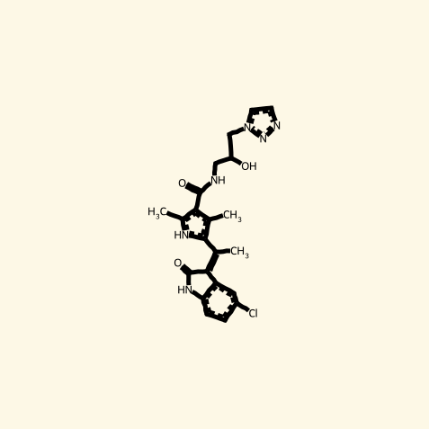 C/C(=C1/C(=O)Nc2ccc(Cl)cc21)c1[nH]c(C)c(C(=O)NCC(O)Cn2ccnn2)c1C